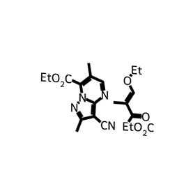 CCO/C=C(\C)C(=O)C(=O)OCC.CCOC(=O)c1c(C)cnc2c(C#N)c(C)nn12